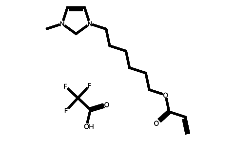 C=CC(=O)OCCCCCCN1C=CN(C)C1.O=C(O)C(F)(F)F